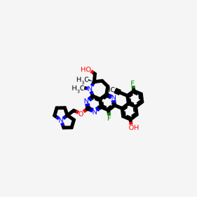 C#Cc1c(F)ccc2cc(O)cc(-c3nc4c5c(nc(OCC67CCCN6CCC7)nc5c3F)N(C)[C@@](C)(CO)CC4)c12